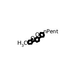 CCCCCc1ccc2c(c1)oc1c2ccc2c3ccc(C)cc3oc21